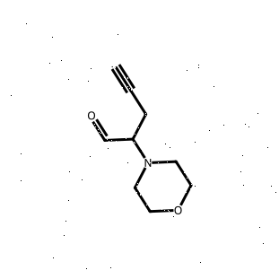 [C]#CCC(C=O)N1CCOCC1